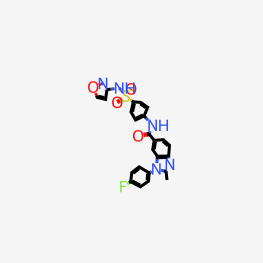 Cc1nc2ccc(C(=O)Nc3ccc(S(=O)(=O)Nc4ccon4)cc3)cc2n1-c1ccc(F)cc1